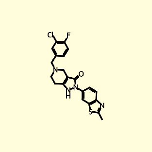 Cc1nc2ccc(-n3[nH]c4c(c3=O)CN(Cc3ccc(F)c(Cl)c3)CC4)cc2s1